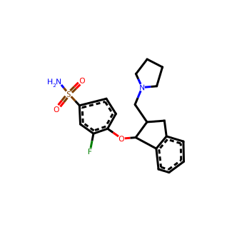 NS(=O)(=O)c1ccc(OC2c3ccccc3CC2CN2CCCC2)c(F)c1